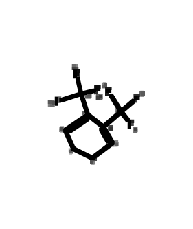 FC(F)(F)C1=[C][C]CC=C1C(F)(F)F